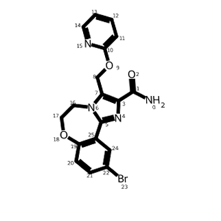 NC(=O)c1nc2n(c1COc1ccccn1)CCOc1ccc(Br)cc1-2